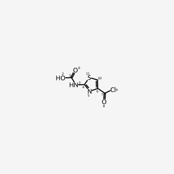 O=C(O)Nc1nc(C(=O)Cl)cs1